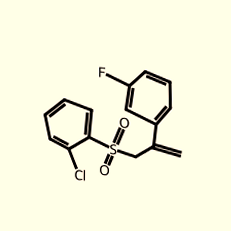 C=C(CS(=O)(=O)c1ccccc1Cl)c1cccc(F)c1